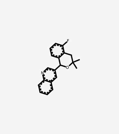 CC1(C)Cc2c(F)cccc2C(c2cnc3ccccc3c2)O1